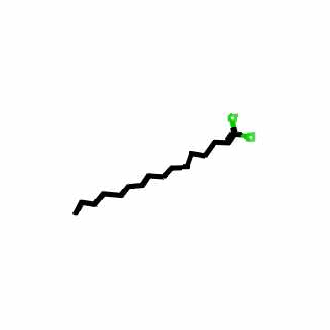 CCCCCCCCCCCCCCC=C(Cl)Cl